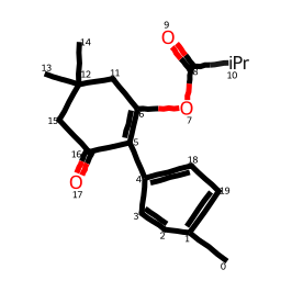 Cc1ccc(C2=C(OC(=O)C(C)C)CC(C)(C)CC2=O)cc1